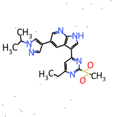 CCc1cc(-c2c[nH]c3ncc(-c4cnn(C(C)C)c4)cc23)nc(S(C)(=O)=O)n1